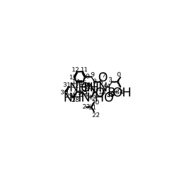 CC(C)C[C@H](NC(=O)[C@H](Cc1ccccc1)NC(=O)[C@H](CC(C)C)NC(=O)c1cnccn1)B(O)O